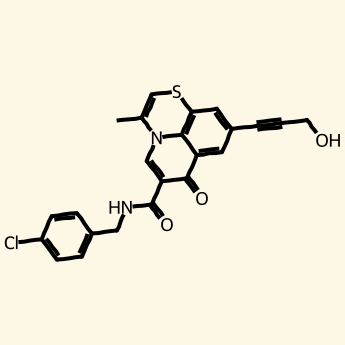 CC1=CSc2cc(C#CCO)cc3c(=O)c(C(=O)NCc4ccc(Cl)cc4)cn1c23